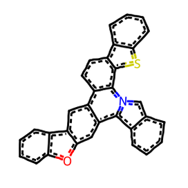 c1ccc2c(c1)cn1c2c2cc3oc4ccccc4c3cc2c2ccc3c4ccccc4sc3c21